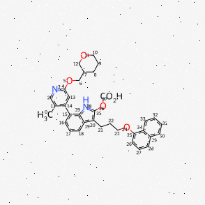 Cc1cnc(OCC2CCCOC2)cc1-c1cccc2c(CCCOc3cccc4ccccc34)c(OC(=O)O)[nH]c12